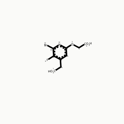 O=C(O)COc1cc(CC(=O)O)c(F)c(Br)n1